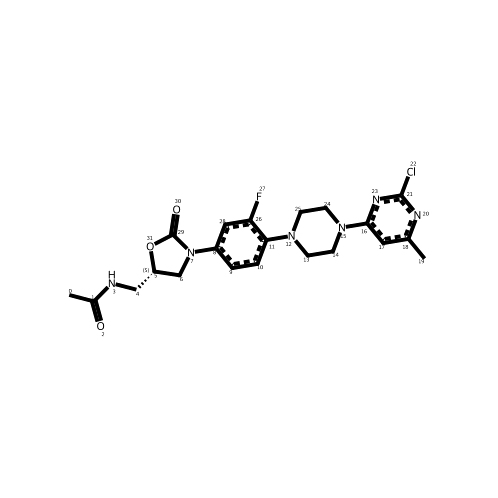 CC(=O)NC[C@H]1CN(c2ccc(N3CCN(c4cc(C)nc(Cl)n4)CC3)c(F)c2)C(=O)O1